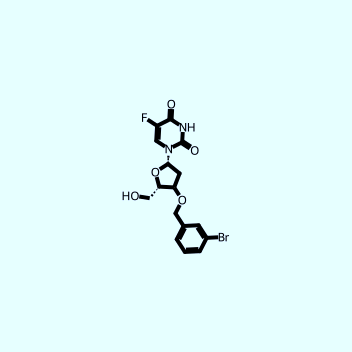 O=c1[nH]c(=O)n([C@@H]2CC(OCc3cccc(Br)c3)[C@H](CO)O2)cc1F